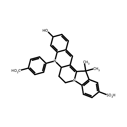 CC1(C)C2=C3C=C4C=CC(O)C=C4N(c4ccc(C(=O)O)cc4)C3CCN2c2ccc(S(=O)(=O)O)cc21